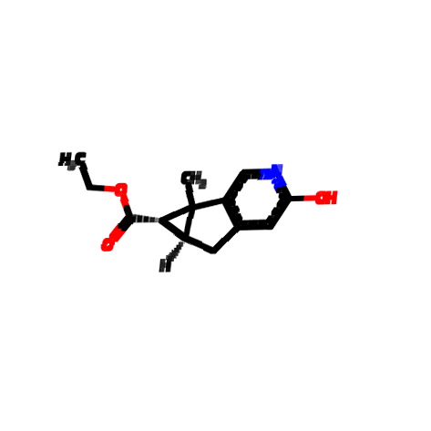 CCOC(=O)[C@H]1[C@@H]2Cc3cc(O)ncc3C21C